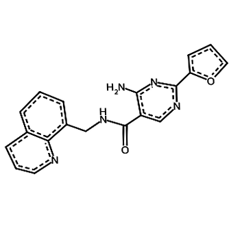 Nc1nc(-c2ccco2)ncc1C(=O)NCc1cccc2cccnc12